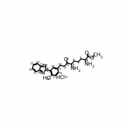 COC(=O)[C@@H](N)CCCC(N)C(=O)CCc1ccc(O)c(-n2nc3ccccc3n2)c1.Cl